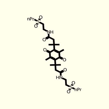 CCCS(=O)(=O)CCNC(=O)CC(C)(C)C1=C(C)C(=O)C(C(C)(C)CC(=O)NCCS(=O)(=O)CCC)=C(C)C1=O